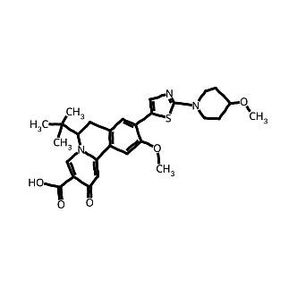 COc1cc2c(cc1-c1cnc(N3CCC(OC)CC3)s1)CC(C(C)(C)C)n1cc(C(=O)O)c(=O)cc1-2